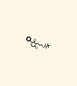 CC(C)(C)[Si](C)(C)OCCCN1C(=O)CCN(c2ccccc2)C1=O